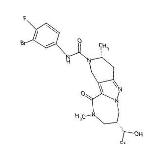 CCC(O)[C@@H]1CN(C)C(=O)c2c3c(nn2C1)C[C@@H](C)N(C(=O)Nc1ccc(F)c(Br)c1)C3